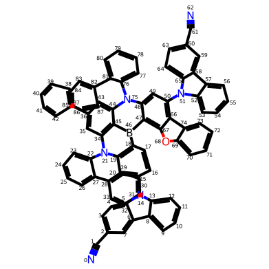 N#Cc1ccc2c(c1)c1ccccc1n2-c1ccc2c(c1)N(c1ccccc1-c1ccccc1)c1cc(-c3ccccc3)cc3c1B2c1c(cc(-n2c4ccccc4c4cc(C#N)ccc42)c2c1oc1ccccc12)N3c1ccccc1-c1ccccc1